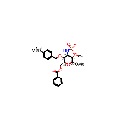 CCO[C@@H]1[C@@H](OC)O[C@H](COC(=O)c2ccccc2)[C@@H](OCc2ccc(OC)cc2)[C@H]1NS(=O)(=O)[O-].[Na+]